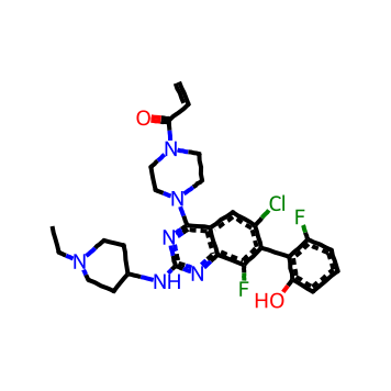 C=CC(=O)N1CCN(c2nc(NC3CCN(CC)CC3)nc3c(F)c(-c4c(O)cccc4F)c(Cl)cc23)CC1